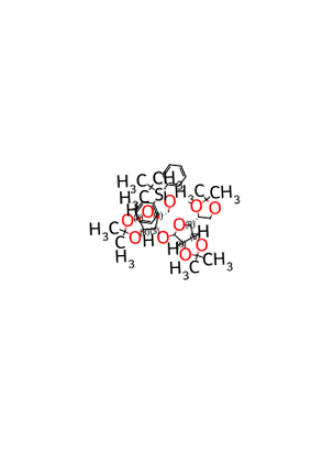 CC1(C)OCC([C@H]2OC(O[C@@H]3[C@H]4OC(C)(C)O[C@H]4O[C@@H]3CO[Si](c3ccccc3)(c3ccccc3)C(C)(C)C)[C@H]3OC(C)(C)O[C@@H]23)O1